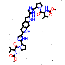 COC(=O)NC(C(=O)N1CCCC1c1ncc(C2Cc3cc4c(cc3N2)NC(c2cnc(C3CCCN3C(=O)C(NC(=O)OC)C(C)C)[nH]2)C4)[nH]1)C(C)C